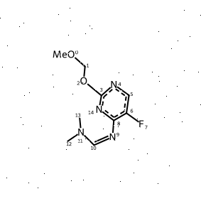 COCOc1ncc(F)c(/N=C\N(C)C)n1